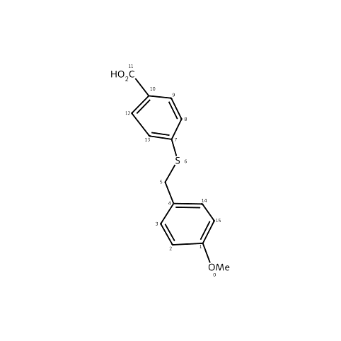 COc1ccc(CSc2ccc(C(=O)O)cc2)cc1